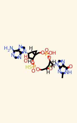 Cc1nc2c(ncn2[C@@H]2O[C@@H]3CO[P@@](=O)(S)O[C@H]4[C@@H](O)[C@H](n5cnc6c(N)ncnc65)[C@H]5CC54COP(=O)(O)O[C@@H]2[C@@H]3F)c(=O)[nH]1